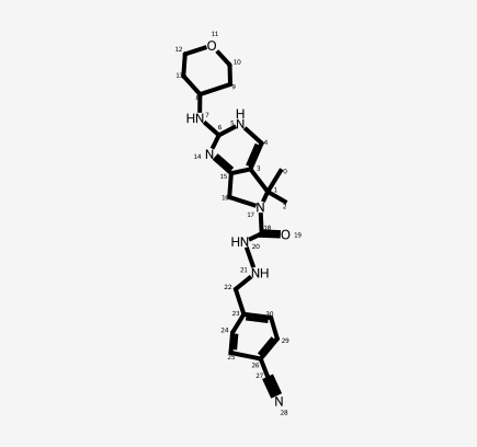 CC1(C)C2=CNC(NC3CCOCC3)N=C2CN1C(=O)NNCc1ccc(C#N)cc1